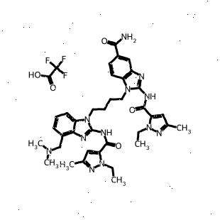 CCn1nc(C)cc1C(=O)Nc1nc2cc(C(N)=O)ccc2n1CCCCn1c(NC(=O)c2cc(C)nn2CC)nc2c(CN(C)C)cccc21.O=C(O)C(F)(F)F